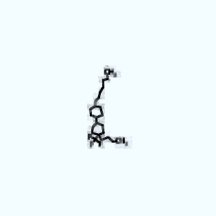 CCCCCCCC1CCC(C2CCC(CCCC)(C(F)(F)F)CC2)CC1